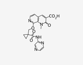 Cn1c(=O)c(C(=O)O)cc2ccnc(OCC3(S(=O)(=O)Nc4cnccn4)CC3)c21